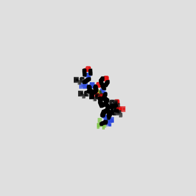 Cc1ccc([C@H](c2ccn3c(C(F)(F)F)nnc3c2C)C(C)(C)C(=O)O)cc1CN1CC2(CCOCC2)Oc2nc(NC(C)CN3CCOCC3)c(C)cc2S1(=O)=O